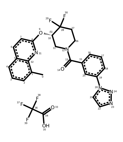 Cc1cccc2ccc(O[C@H]3CN(C(=O)c4cccc(-n5ccnn5)c4)CCC3(F)F)nc12.O=C(O)C(F)(F)F